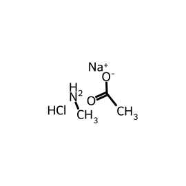 CC(=O)[O-].CN.Cl.[Na+]